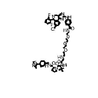 Cc1ncsc1-c1ccc(CNC(=O)[C@@H]2CCCN2C(=O)[C@@H](NC(=O)CNCCOCCOCCOCCNC(=O)c2ccc(Nc3ncc4c(n3)-c3ccc(Cl)cc3C(c3c(F)cccc3F)=NC4)cc2)C(C)(C)C)cc1